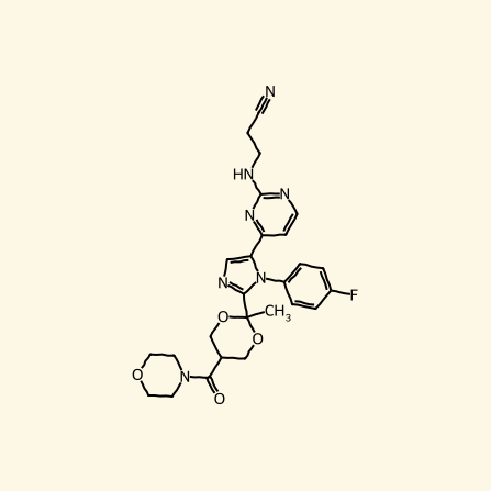 CC1(c2ncc(-c3ccnc(NCCC#N)n3)n2-c2ccc(F)cc2)OCC(C(=O)N2CCOCC2)CO1